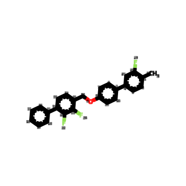 Cc1ccc(-c2ccc(OCc3ccc(-c4ccccc4)c(F)c3F)cc2)cc1F